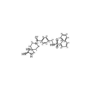 N=C1NCC2(CCN(C(=O)c3ccc(CNS(=O)(=O)c4cccc5ccccc45)cc3)CC2)N1